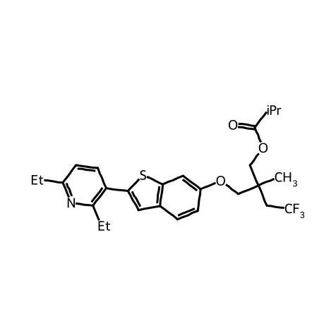 CCc1ccc(-c2cc3ccc(OCC(C)(COC(=O)C(C)C)CC(F)(F)F)cc3s2)c(CC)n1